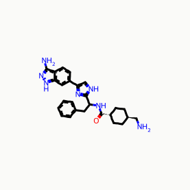 NC[C@H]1CC[C@H](C(=O)NC(Cc2ccccc2)c2nc(-c3ccc4c(N)n[nH]c4c3)c[nH]2)CC1